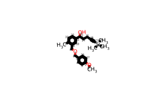 COc1ccc(COCc2cc(C(O)CCC#C[Si](C)(C)C)ccc2C)cc1